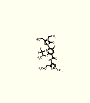 CCn1c(CO)nn(-c2nc(O[C@@H](C)C(F)(F)F)c(C(=O)Nc3cn(C)nc3COC)cc2F)c1=O